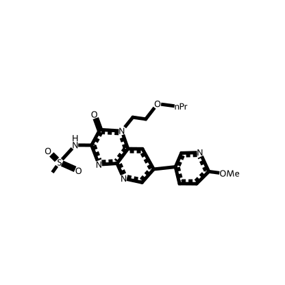 CCCOCCn1c(=O)c(NS(C)(=O)=O)nc2ncc(-c3ccc(OC)nc3)cc21